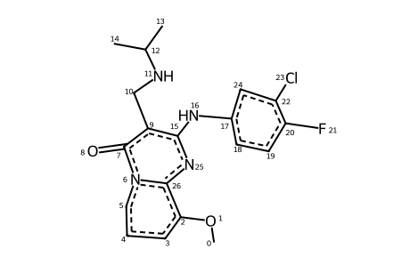 COc1cccn2c(=O)c(CNC(C)C)c(Nc3ccc(F)c(Cl)c3)nc12